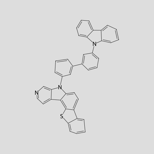 c1cc(-c2cccc(-n3c4cnccc4c4c5sc6ccccc6c5ccc43)c2)cc(-n2c3ccccc3c3ccccc32)c1